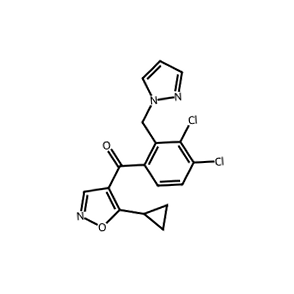 O=C(c1cnoc1C1CC1)c1ccc(Cl)c(Cl)c1Cn1cccn1